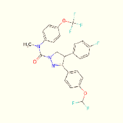 CN(C(=O)N1CC(c2ccc(F)cc2)C(c2ccc(OC(F)F)cc2)=N1)c1ccc(OC(F)(F)F)cc1